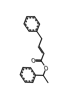 CC(OC(=O)C=CCc1ccccc1)c1ccccc1